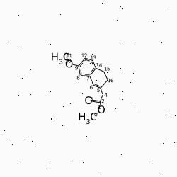 COC(=O)CC1=Cc2cc(OC)ccc2CC1